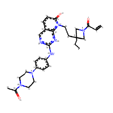 C=CC(=O)N1CC(CC)(CCn2c(=O)ccc3cnc(Nc4ccc(N5CCN(C(C)=O)CC5)cc4)nc32)C1